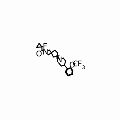 O=C(N1CC2(CC[C@@H](N3CCC(c4ccccc4OC(F)(F)F)CC3)C2)C1)C1(F)CC1